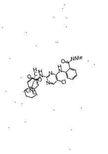 CNC(=O)c1ccccc1Nc1nc(Nc2ccc3c(c2)C2CCC3CN(S(C)(=O)=O)C2)ncc1Cl